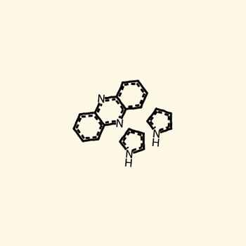 c1cc[nH]c1.c1cc[nH]c1.c1ccc2nc3ccccc3nc2c1